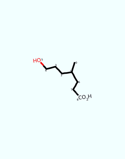 CC(CCCO)CCC(=O)O